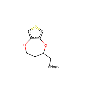 CCCCCCCCC1CCOc2cscc2O1